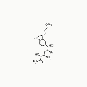 COCCCc1cn(C)c2ccc(CC(CC(N)C(O)C(N)=O)C(C)C)cc12.Cl